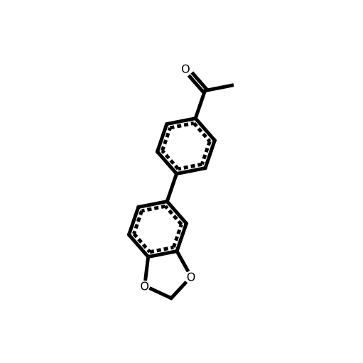 CC(=O)c1ccc(-c2ccc3c(c2)OCO3)cc1